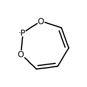 C1=CO[P]OC=C1